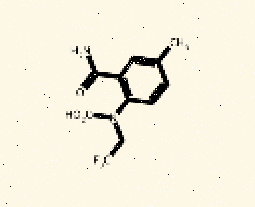 Cc1ccc(N(CC(F)(F)F)C(=O)O)c(C(N)=O)c1